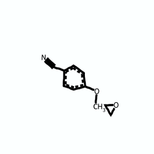 C1CO1.COc1ccc(C#N)cc1